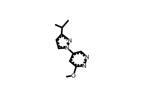 COc1cc(-n2ccc(C(C)C)n2)cnn1